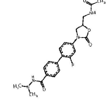 CC(=O)NCC1CN(c2ccc(-c3ccc(C(=O)NN(C)C)cc3)c(F)c2)C(=O)O1